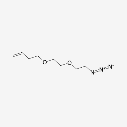 C=CCCOCCOCCN=[N+]=[N-]